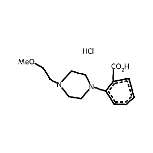 COCCN1CCN(c2ccccc2C(=O)O)CC1.Cl